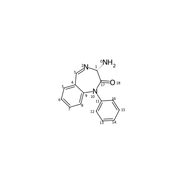 N[C@H]1N=Cc2ccccc2N(c2ccccc2)C1=O